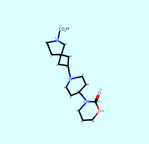 O=C(O)N1CCC2(CC(N3CCC(N4CCCOC4=O)CC3)C2)C1